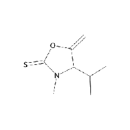 C=C1OC(=S)N(C)C1C(C)C